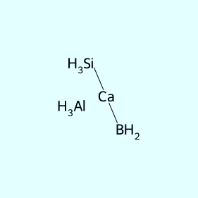 [AlH3].[BH2][Ca][SiH3]